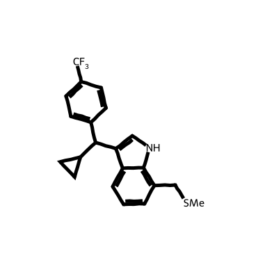 CSCc1cccc2c(C(c3ccc(C(F)(F)F)cc3)C3CC3)c[nH]c12